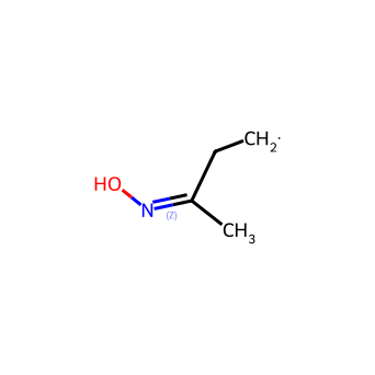 [CH2]C/C(C)=N\O